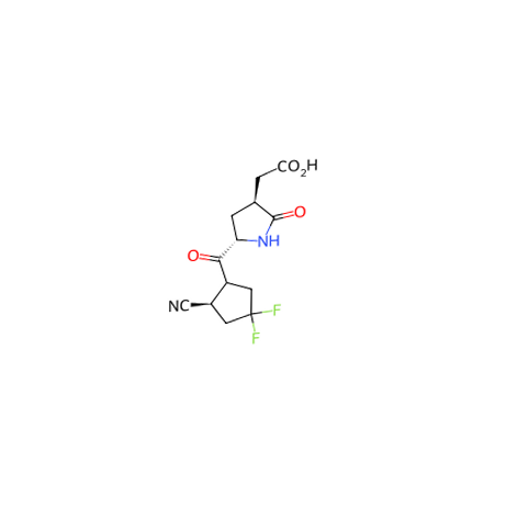 N#C[C@@H]1CC(F)(F)CC1C(=O)[C@@H]1C[C@@H](CC(=O)O)C(=O)N1